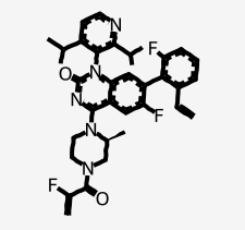 C=Cc1cccc(F)c1-c1cc2c(cc1F)c(N1CCN(C(=O)C(=C)F)C[C@@H]1C)nc(=O)n2-c1c(C(C)C)ccnc1C(C)C